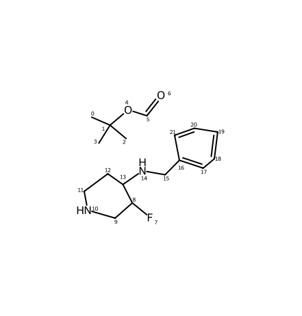 CC(C)(C)OC=O.FC1CNCCC1NCc1ccccc1